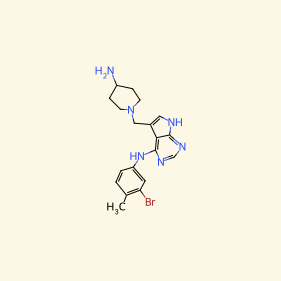 Cc1ccc(Nc2ncnc3[nH]cc(CN4CCC(N)CC4)c23)cc1Br